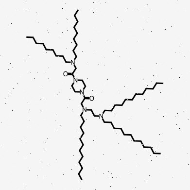 CCCCCCCCCCCCN(CCCCCCCCCCCC)CCN(CCCCCCCCCCCC)CC(=O)N1CCN(C(=O)CN(CCCCCCCCC)CCCCCCCCC)CC1